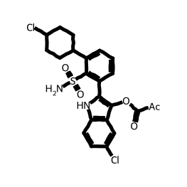 CC(=O)C(=O)Oc1c(-c2cccc(C3CCC(Cl)CC3)c2S(N)(=O)=O)[nH]c2ccc(Cl)cc12